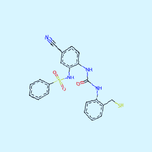 N#Cc1ccc(NC(=O)Nc2ccccc2CS)c(NS(=O)(=O)c2ccccc2)c1